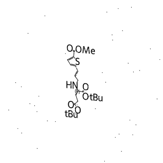 COC(=O)c1ccc(C=CCN[C@H](CCC(=O)OC(C)(C)C)C(=O)OC(C)(C)C)s1